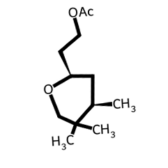 CC(=O)OCC[C@H]1C[C@@H](C)C(C)(C)CO1